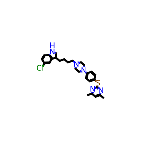 Cc1cc(C)nc(Sc2ccc(N3CCN(CCCCc4c[nH]c5ccc(Cl)cc45)CC3)cc2)n1